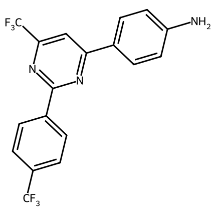 Nc1ccc(-c2cc(C(F)(F)F)nc(-c3ccc(C(F)(F)F)cc3)n2)cc1